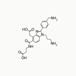 NCCCn1c(-c2ccc(CN)cc2)nc2c(CC(=O)O)c(C(=O)NCCC(=O)O)ccc21